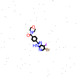 O=C(c1ccc(-c2nc3c(I)c(Br)cnc3[nH]2)cc1)N1CCOCC1